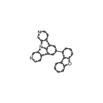 c1ccc2c(c1)oc1cccc(-c3cc4c5ccncc5n5c6cnccc6c(c3)c45)c12